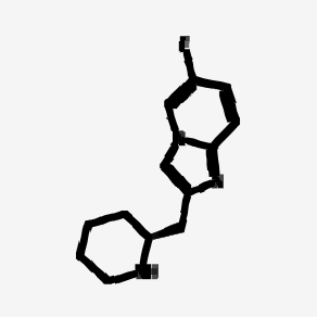 Fc1ccc2nc(C[C@@H]3CCCCN3)cn2c1